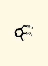 [CH2]c1cccc(CN)c1[N+](=O)[O-]